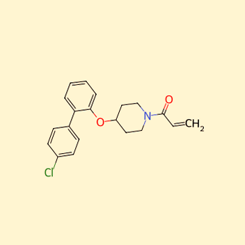 C=CC(=O)N1CCC(Oc2ccccc2-c2ccc(Cl)cc2)CC1